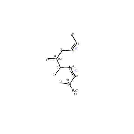 C/C=C\C[C@H](C)C(C)/N=C\N(C)C(C)=O